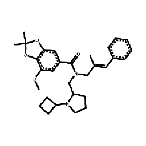 COc1cc(C(=O)N(C/C(C)=C/c2ccccc2)CC2CCCN2C2CCC2)cc2c1OC(C)(C)O2